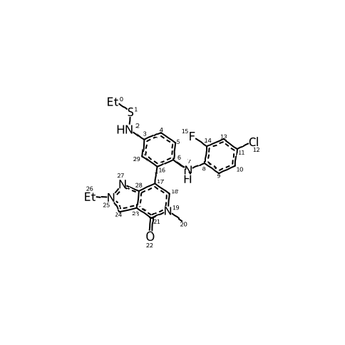 CCSNc1ccc(Nc2ccc(Cl)cc2F)c(-c2cn(C)c(=O)c3cn(CC)nc23)c1